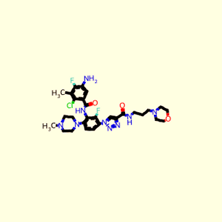 Cc1c(F)c(N)cc(C(=O)Nc2c(N3CCN(C)CC3)ccc(-n3cc(C(=O)NCCCN4CCOCC4)nn3)c2F)c1Cl